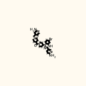 Nc1ccc(C(=O)Nc2cc(Br)ccc2NC2CCN(C(=O)C3CCN(Cc4ccnc(N)c4)CC3)CC2)cn1